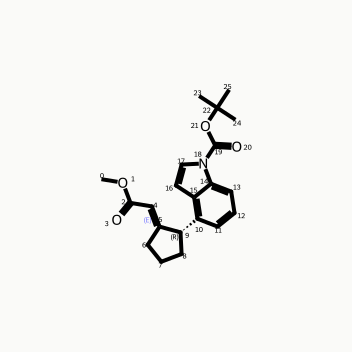 COC(=O)/C=C1\CCC[C@H]1c1cccc2c1ccn2C(=O)OC(C)(C)C